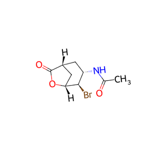 CC(=O)N[C@H]1C[C@@H]2C[C@@H](OC2=O)[C@@H]1Br